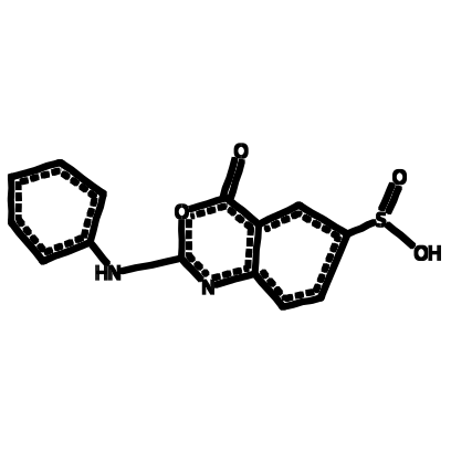 O=c1oc(Nc2ccccc2)nc2ccc(S(=O)O)cc12